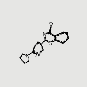 O=c1nc(-c2ccc(N3CCCC3)nc2)sc2ccccc12